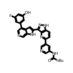 CCCCC(=O)Nc1cncc(-c2ccc3[nH]nc(-c4cc5c(-c6cc(O)cc(F)c6)cncc5[nH]4)c3n2)c1